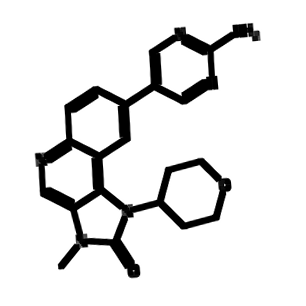 Cn1c(=O)n(C2CCOCC2)c2c3cc(-c4cnc(N)nc4)ccc3ncc21